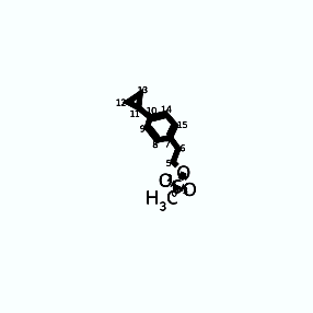 CS(=O)(=O)OCCc1ccc(C2CC2)cc1